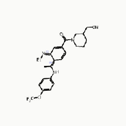 CC/N=C1/C=C(C(=O)N2CCCC(CO)C2)C=C/C1=C(/C)Nc1ccc(OC(F)(F)F)cc1